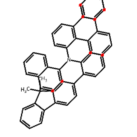 CC1(C)c2ccccc2-c2ccc(-c3ccccc3N(c3cccc(-c4ccccc4)c3-c3ccccc3-c3ccccc3)c3cccc4ccccc34)cc21